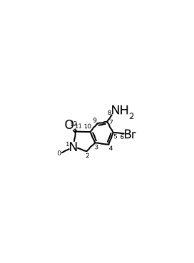 CN1Cc2cc(Br)c(N)cc2C1=O